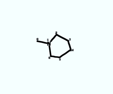 CN1CC[C]CC1